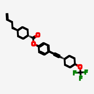 C=CCC[C@H]1CC[C@H](C(=O)Oc2ccc(C#C[C@H]3CC[C@H](OC(F)(F)F)CC3)cc2)CC1